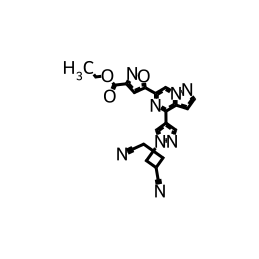 CCOC(=O)c1cc(-c2cn3nccc3c(-c3cnn(C4(CC#N)CC(C#N)C4)c3)n2)on1